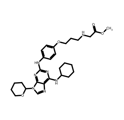 COC(=O)CNCCCOc1ccc(Nc2nc(NC3CCCCC3)c3ncn(C4CCCCO4)c3n2)cc1